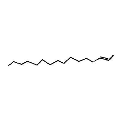 [CH2]/C=C/CCCCCCCCCCCCC